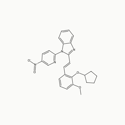 COc1cccc(C=Cc2nc3ccccc3n2-c2ccc([N+](=O)[O-])cn2)c1OC1CCCC1